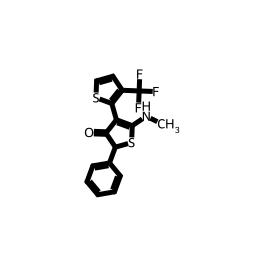 CNC1=C(c2sccc2C(F)(F)F)C(=O)C(c2ccccc2)S1